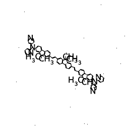 CC1(C)c2cc(/C=C/c3ccc4c(c3)C(C)(C)c3cc(N(c5ccncc5)c5ccccn5)ccc3-4)ccc2-c2ccc(/C=C/c3ccc4c(c3)C(C)(C)c3cc(N(c5ccncc5)c5ccccn5)ccc3-4)cc21